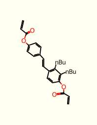 C=CC(=O)Oc1ccc(C=Cc2ccc(OC(=O)C=C)c(CCCC)c2CCCC)cc1